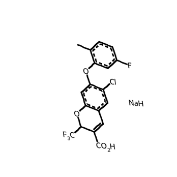 Cc1ccc(F)cc1Oc1cc2c(cc1Cl)C=C(C(=O)O)C(C(F)(F)F)O2.[NaH]